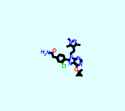 Cc1nn(C)c(C)c1CCn1c(-c2ccc(CC(N)=O)cc2Cl)nc2c(OC3(C)CC3)ncnc21